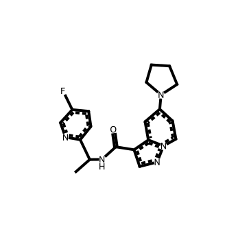 CC(NC(=O)c1cnn2ccc(N3CCCC3)cc12)c1ccc(F)cn1